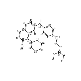 CCN(CC)CCOc1ccc(Nc2ncc3ccc(=O)n(C4CCCCC4)c3n2)cc1